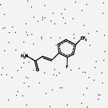 NC(=O)C=Cc1ccc(C(F)(F)F)cc1F